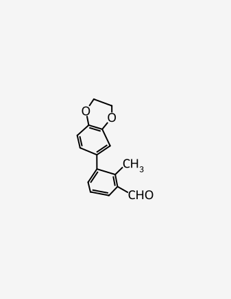 Cc1c(C=O)cccc1-c1ccc2c(c1)OCCO2